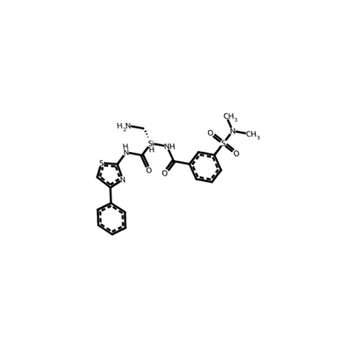 CN(C)S(=O)(=O)c1cccc(C(=O)N[Si@@H](CN)C(=O)Nc2nc(-c3ccccc3)cs2)c1